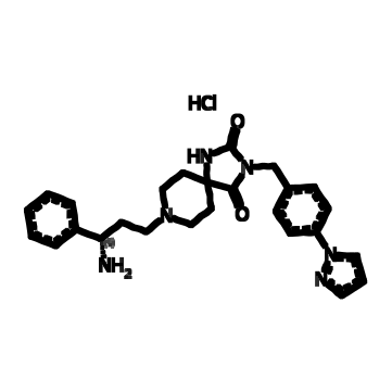 Cl.N[C@@H](CCN1CCC2(CC1)NC(=O)N(Cc1ccc(-n3cccn3)cc1)C2=O)c1ccccc1